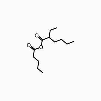 CCCCC(=O)OC(=O)C(CC)CCCC